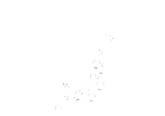 COc1nc(-c2cccc(-c3cccc(NC(=O)c4cc(C)c5c(n4)CN(CCC(C)O[Si](C)(C)C(C)(C)C)CC5)c3Cl)c2Cl)cnc1CN1CC(O)C1